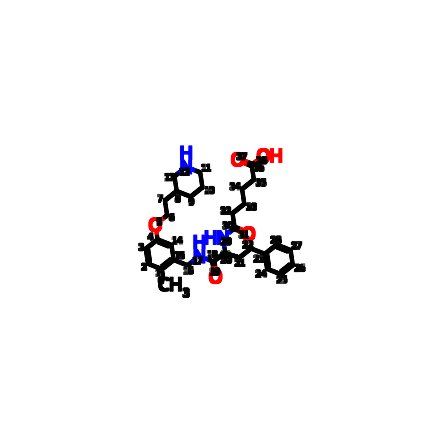 Cc1ccc(OCCC2CCCNC2)cc1CNC(=O)[C@H](CCc1ccccc1)NC(=O)CCCCC(=O)O